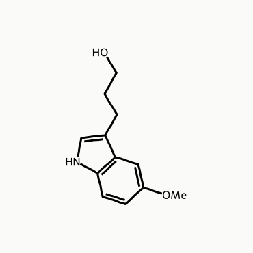 COc1ccc2[nH]cc(CCCO)c2c1